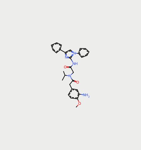 COc1ccc(CC(=O)N(CC(=O)Nc2nc(-c3ccccc3)cn2-c2ccccc2)C(C)C)cc1N